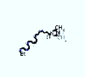 CC/C=C\C/C=C\C/C=C\C/C=C\C/C=C\C/C=C\CCC(=O)N1C[C@@H](C)N[C@@H](C)C1